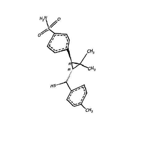 Cc1ccc(C(S)[C@@H]2[C@@H](c3ccc(S(N)(=O)=O)cc3)C2(C)C)cc1